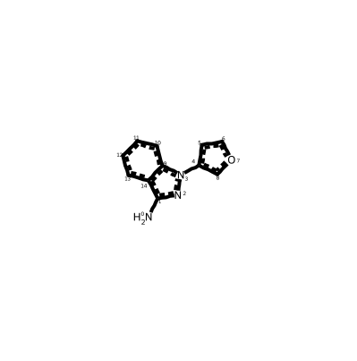 Nc1nn(-c2ccoc2)c2ccccc12